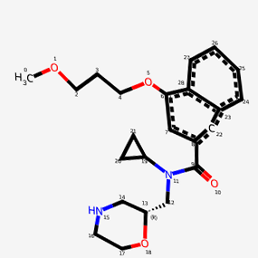 COCCCOc1cc(C(=O)N(C[C@H]2CNCCO2)C2CC2)cc2ccccc12